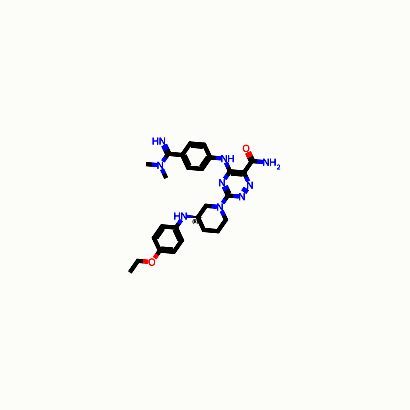 CCOc1ccc(N[C@@H]2CCCN(c3nnc(C(N)=O)c(Nc4ccc(C(=N)N(C)C)cc4)n3)C2)cc1